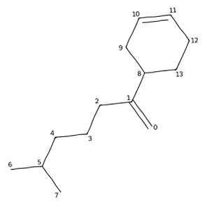 C=C(CCCC(C)C)C1CC=CCC1